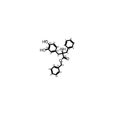 NC(Cc1ccccc1)(Cc1ccc(O)c(O)c1)C(=O)OCc1ccccc1